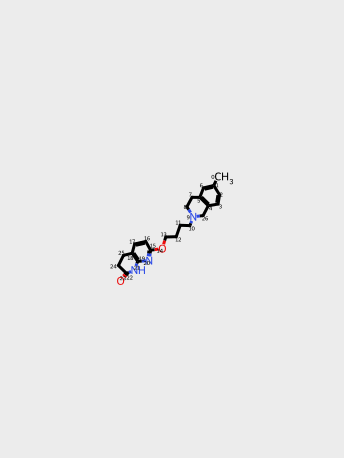 Cc1ccc2c(c1)CCN(CCCCOc1ccc3c(n1)NC(=O)CC3)C2